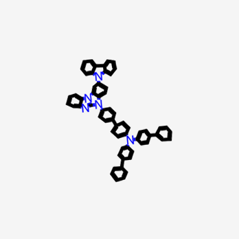 c1ccc(-c2ccc(N(c3ccc(-c4ccccc4)cc3)c3ccc(-c4ccc(-n5c6ccc(-n7c8ccccc8c8ccccc87)cc6n6c7ccccc7nc56)cc4)cc3)cc2)cc1